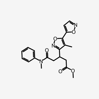 COC(=O)CC(CC(=O)N(C)c1ccccc1)c1noc(-c2ccno2)c1C